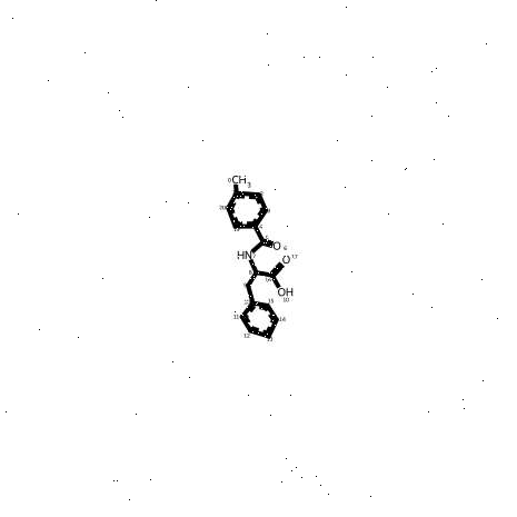 Cc1ccc(C(=O)NC(Cc2ccccc2)C(=O)O)cc1